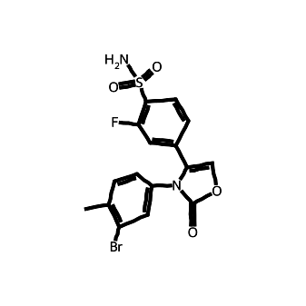 Cc1ccc(-n2c(-c3ccc(S(N)(=O)=O)c(F)c3)coc2=O)cc1Br